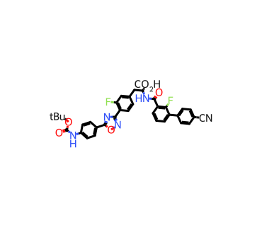 CC(C)(C)OC(=O)Nc1ccc(-c2nc(-c3ccc(CC(NC(=O)c4cccc(-c5ccc(C#N)cc5)c4F)C(=O)O)cc3F)no2)cc1